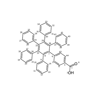 O=C(O)c1ccc(-c2c(-c3ccccc3)c(-c3ccccc3)c(-c3ccccc3)c(-c3ccccc3)c2-c2ccccc2)cc1